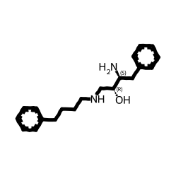 N[C@@H](Cc1ccccc1)[C@H](O)CNCCCCc1ccccc1